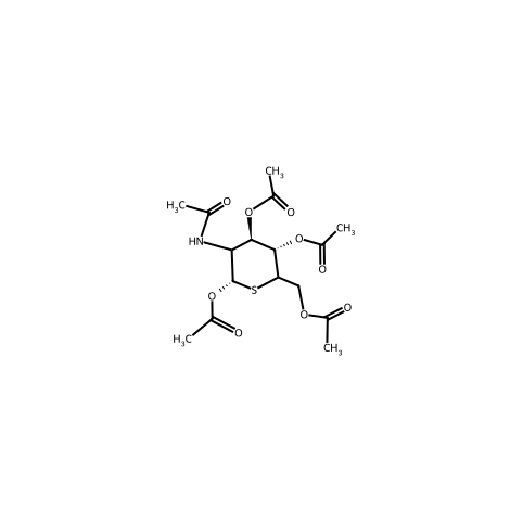 CC(=O)NC1[C@@H](OC(C)=O)[C@H](OC(C)=O)C(COC(C)=O)S[C@@H]1OC(C)=O